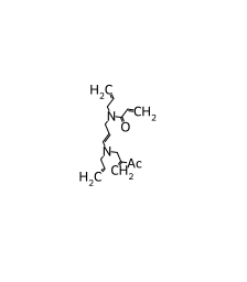 C=CCN(/C=C/CN(CC=C)C(=O)C=C)CC(=C)C(C)=O